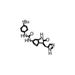 CC(C)(C)c1ccc(NC(=O)Nc2ccc3c(c2)NC(=O)/C3=C\c2cnc[nH]2)cc1